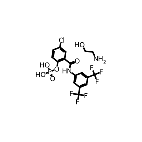 NCCO.O=C(Nc1cc(C(F)(F)F)cc(C(F)(F)F)c1)c1cc(Cl)ccc1OP(=O)(O)O